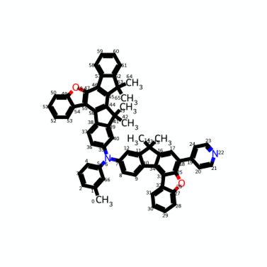 Cc1cccc(N(c2ccc3c(c2)C(C)(C)c2cc(-c4ccncc4)c4oc5ccccc5c4c2-3)c2ccc3c(c2)C(C)(C)c2c4c(c5oc6ccccc6c5c2-3)-c2ccccc2C4(C)C)c1